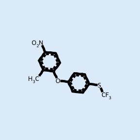 Cc1cc([N+](=O)[O-])ccc1Oc1ccc(SC(F)(F)F)cc1